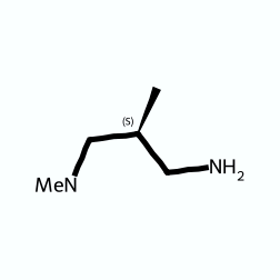 CNC[C@@H](C)CN